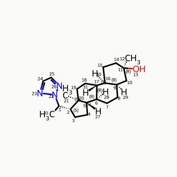 CC([C@H]1CC[C@H]2[C@@H]3CC[C@@H]4C[C@](C)(O)CC[C@@H]4[C@H]3CC[C@]12C)n1nccn1